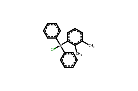 Cc1cccc([Si](Cl)(c2ccccc2)c2ccccc2)c1C